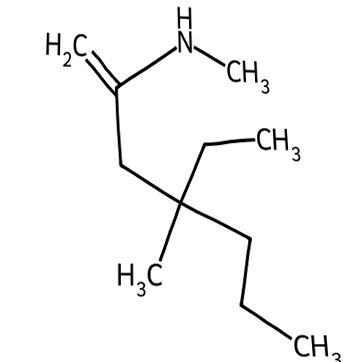 C=C(CC(C)(CC)CCC)NC